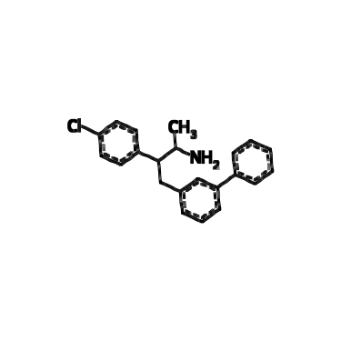 CC(N)C(Cc1cccc(-c2ccccc2)c1)c1ccc(Cl)cc1